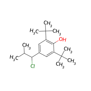 CC(C)C(Cl)c1cc(C(C)(C)C)c(O)c(C(C)(C)C)c1